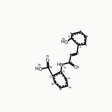 O=C(C=Cc1ccccc1O)Nc1ccccc1C(=O)O